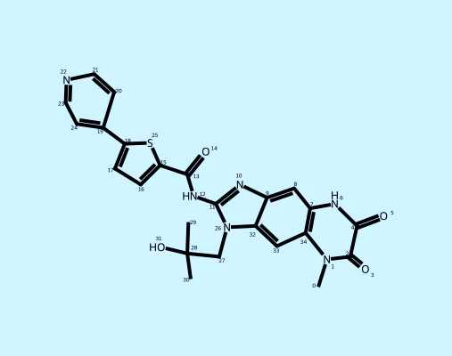 Cn1c(=O)c(=O)[nH]c2cc3nc(NC(=O)c4ccc(-c5ccncc5)s4)n(CC(C)(C)O)c3cc21